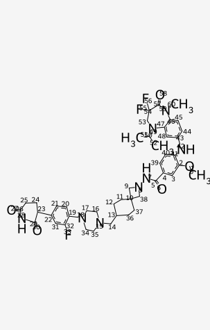 COc1cc(C(=O)NN2CC3(CCC(CN4CCN(c5ccc(C6CCC(=O)NC6=O)cc5F)CC4)CC3)C2)ccc1Nc1ccc2c(c1)N(C(C)C)CC(F)(F)C(=O)N2C